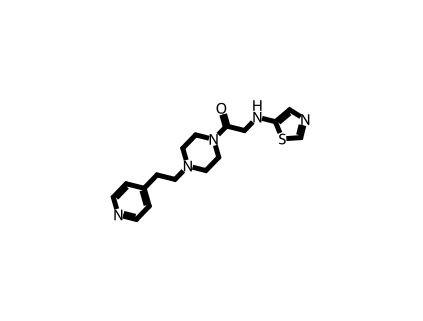 O=C(CNc1cncs1)N1CCN(CCc2ccncc2)CC1